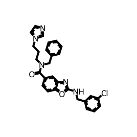 O=C(c1ccc2oc(NCc3cccc(Cl)c3)nc2c1)N(CCCn1ccnc1)Cc1ccccc1